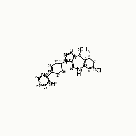 CC1C2=C(C=C(Cl)CC2)NC=C2N1C=NN2C1CC=C(c2ncccc2F)CC1